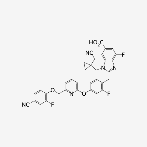 N#CCC1(Cn2c(Cc3ccc(Oc4cccc(COc5ccc(C#N)cc5F)n4)cc3F)nc3c(F)cc(C(=O)O)cc32)CC1